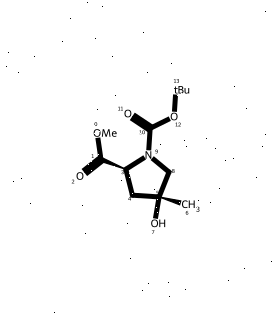 COC(=O)[C@@H]1C[C@@](C)(O)CN1C(=O)OC(C)(C)C